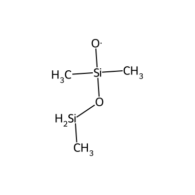 C[SiH2]O[Si](C)(C)[O]